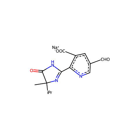 CC(C)C1(C)N=C(c2ncc(C=O)cc2C(=O)[O-])NC1=O.[Na+]